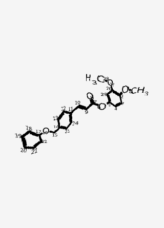 COc1ccc(OC(=O)C=Cc2ccc(COc3ccccc3)cc2)cc1OC